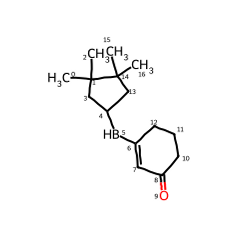 CC1(C)CC(BC2=CC(=O)CCC2)CC1(C)C